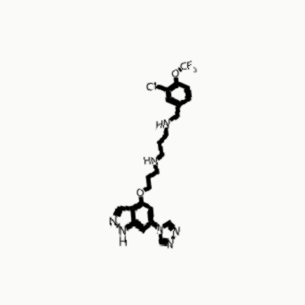 FC(F)(F)Oc1ccc(CNCCCNCCCOc2cc(-n3cnnc3)cc3[nH]ncc23)cc1Cl